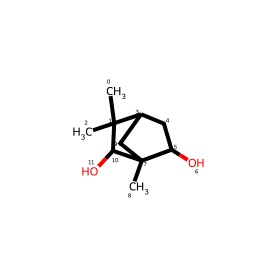 CC1(C)C2CC(O)C(C)(C2)C1O